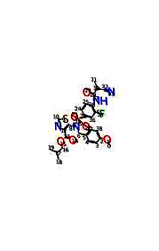 COc1ccc(CN(c2scnc2C(=O)OCC(C)C)S(=O)(=O)c2ccc(NC(=O)C(C)C#N)c(F)c2)cc1